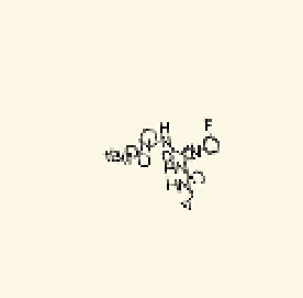 CC(C)(C)OC(=O)N1CCC[C@H](NC(=O)c2cn(-c3cccc(F)c3)cc2NC(=O)NCC2CC2)C1